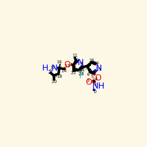 CNC(=O)Oc1cc(-c2nc(C)c(OC[C@@](C)(N)CC(C)C)cc2F)ccn1